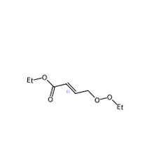 CCOOC/C=C/C(=O)OCC